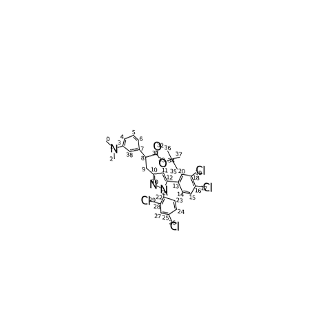 CN(C)c1cccc(C(Cc2cc(-c3ccc(Cl)c(Cl)c3)n(-c3ccc(Cl)cc3Cl)n2)C(=O)OC(C)(C)C)c1